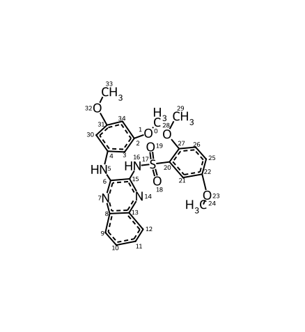 COc1cc(Nc2nc3ccccc3nc2NS(=O)(=O)c2cc(OC)ccc2OC)cc(OC)c1